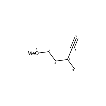 C#CC(C)CCOC